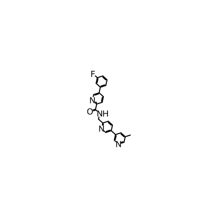 Cc1cncc(-c2ccc(CNC(=O)c3ccc(-c4cccc(F)c4)cn3)nc2)c1